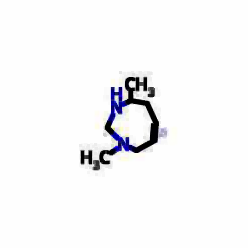 CC1C/C=C\CN(C)CN1